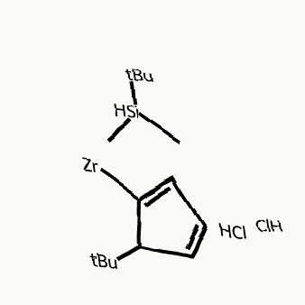 CC(C)(C)C1C=CC=[C]1[Zr].C[SiH](C)C(C)(C)C.Cl.Cl